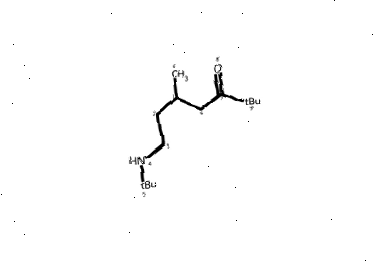 CC(CCNC(C)(C)C)CC(=O)C(C)(C)C